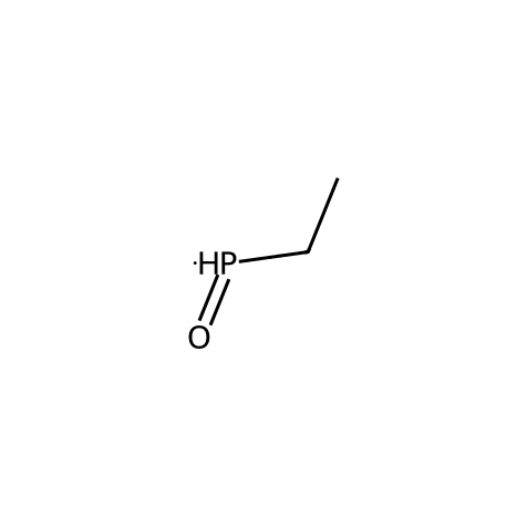 CC[PH]=O